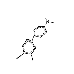 Cc1ccc(-c2ccc(N(C)C)cc2)cc1C